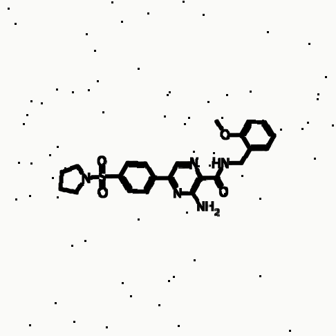 COc1ccccc1CNC(=O)c1ncc(-c2ccc(S(=O)(=O)N3CCCC3)cc2)nc1N